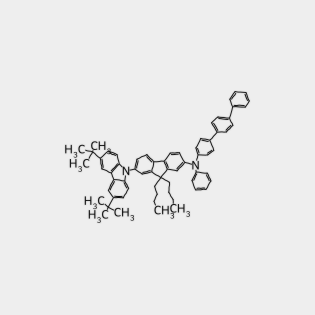 CCCCC1(CCCC)c2cc(N(c3ccccc3)c3ccc(-c4ccc(-c5ccccc5)cc4)cc3)ccc2-c2ccc(-n3c4ccc(C(C)(C)C)cc4c4cc(C(C)(C)C)ccc43)cc21